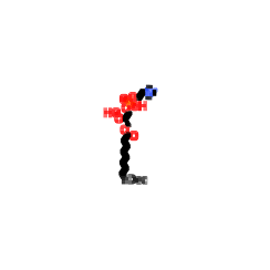 CCCCCCCCCCCCCCCCCC(=O)OC[C@H](COP(=O)(O)OCC[N+](C)(C)C)OO